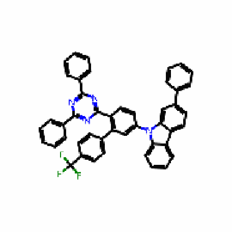 FC(F)(F)c1ccc(-c2cc(-n3c4ccccc4c4ccc(-c5ccccc5)cc43)ccc2-c2nc(-c3ccccc3)nc(-c3ccccc3)n2)cc1